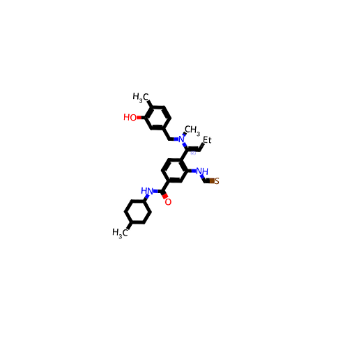 CC/C=C(/c1ccc(C(=O)NC2CCC(C)CC2)cc1NC=S)N(C)Cc1ccc(C)c(O)c1